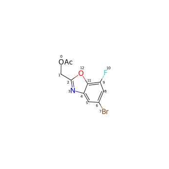 CC(=O)OCc1nc2cc(Br)cc(F)c2o1